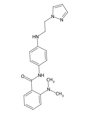 CN(C)c1ccccc1C(=O)Nc1ccc(NCCn2cccn2)cc1